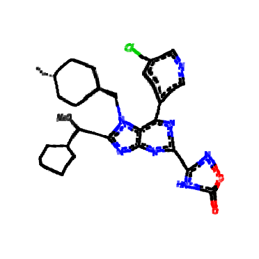 COC(c1nc2nc(-c3noc(=O)[nH]3)nc(-c3cncc(Cl)c3)c2n1C[C@H]1CC[C@H](C)CC1)C1CCCC1